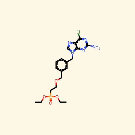 CCOP(=O)(CCOCc1cccc(Cn2cnc3c(Cl)nc(N)nc32)c1)OCC